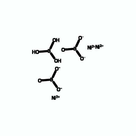 OB(O)O.[Ni+2].[Ni+2].[Ni+2].[O-]B([O-])[O-].[O-]B([O-])[O-]